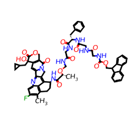 Cc1c(F)cc2nc3c(c4c2c1CC[C@@H]4NC(=O)[C@@H](C)OCNC(=O)CNC(=O)[C@H](Cc1ccccc1)NC(=O)CNC(=O)CNC(=O)OCC1c2ccccc2-c2ccccc21)Cn1c-3cc2c(c1=O)COC(=O)[C@]2(O)CC1CC1